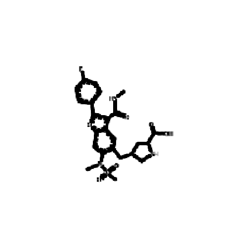 CNC(=O)c1c(-c2ccc(F)cc2)oc2cc(N(C)S(C)(=O)=O)c(CC3CNC(C(=O)O)C3)cc12